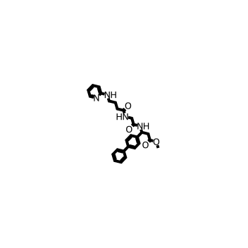 COC(=O)CC(NC(=O)CNC(=O)CCCNc1ccccn1)c1ccc(-c2ccccc2)cc1